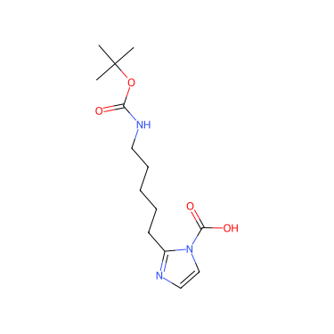 CC(C)(C)OC(=O)NCCCCCc1nccn1C(=O)O